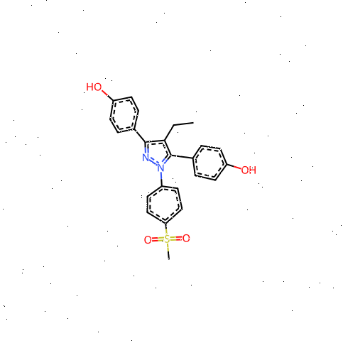 CCc1c(-c2ccc(O)cc2)nn(-c2ccc(S(C)(=O)=O)cc2)c1-c1ccc(O)cc1